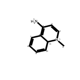 CN1C=CC(N)=C2C=CC=CC21